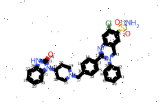 NS(=O)(=O)c1cc2c(cc1Cl)N=C(c1ccc(CN3CCC(n4c(=O)[nH]c5ccccc54)CC3)cc1)N(c1ccccc1)C2